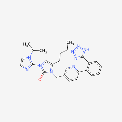 CCCCc1cn(-c2nccn2C(C)C)c(=O)n1Cc1ccc(-c2ccccc2-c2nnn[nH]2)nc1